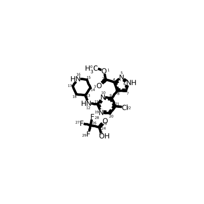 COC(=O)c1n[nH]cc1-c1nc(NC2CCNCC2)ncc1Cl.O=C(O)C(F)(F)F